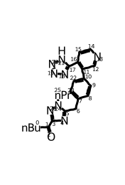 CCCCC(=O)c1nc(Cc2ccc(-c3cnccc3-c3nnn[nH]3)cc2)n(CCC)n1